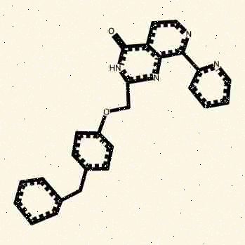 O=c1[nH]c(COc2ccc(Cc3ccccc3)cc2)nc2c(-c3ccccn3)nccc12